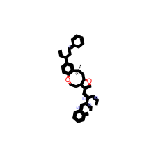 C=CC(C/C=C1/C=CC=CC1)c1ccc2c(c1)[C@H](C)CC1OC=C(/C=C(\C=C/C)C(/C=c3/ccccc3=C)=C/C)C1CCO2